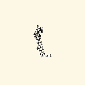 CCCCCc1ccc(-c2ccc(-c3ccc(-c4cc(F)c(C(F)(F)Oc5cc(F)c(Cl)c(F)c5)c(F)c4)cc3)c(F)c2)cc1